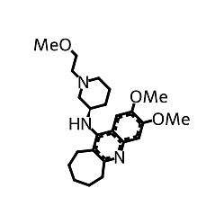 COCCN1CCC[C@@H](Nc2c3c(nc4cc(OC)c(OC)cc24)CCCCC3)C1